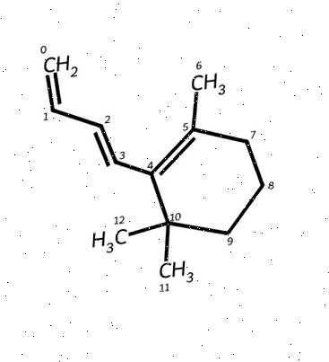 C=CC=CC1=C(C)CCCC1(C)C